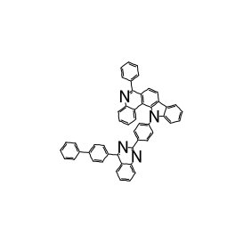 c1ccc(-c2ccc(-c3nc(-c4ccc(-n5c6ccccc6c6ccc7c(-c8ccccc8)nc8ccccc8c7c65)cc4)nc4ccccc34)cc2)cc1